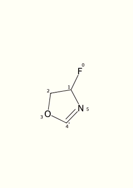 FC1CO[C]=N1